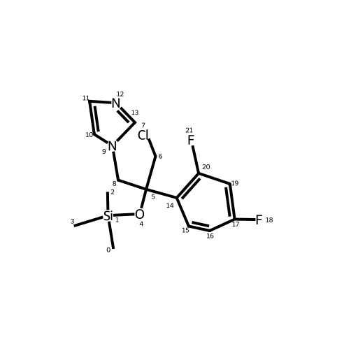 C[Si](C)(C)OC(CCl)(Cn1ccnc1)c1ccc(F)cc1F